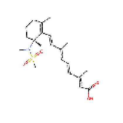 CC1=C(/C=C/C(C)=C/C=C/C(C)=C/C(=O)O)[C@](C)(N(C)S(C)(=O)=O)CCC1